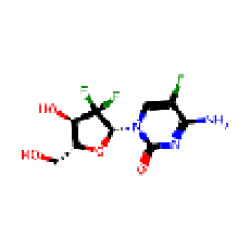 Nc1nc(=O)n([C@@H]2O[C@H](CO)[C@@H](O)C2(F)F)cc1F